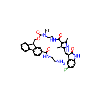 CCN(CCNC(=O)c1c(C)[nH]c(/C=C2\C(=O)Nc3ccc(F)cc32)c1C)C(=O)OCC1c2ccccc2-c2ccc(C(=O)NCCN)cc21